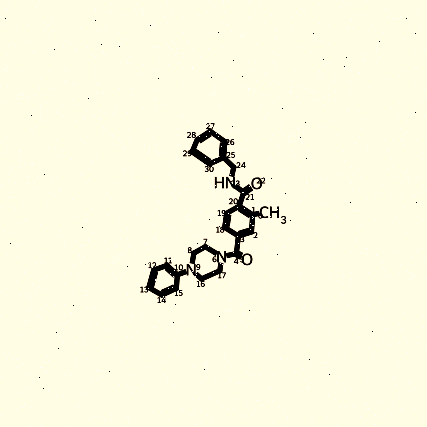 Cc1cc(C(=O)N2CCN(c3ccccc3)CC2)ccc1C(=O)NCc1ccccc1